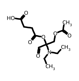 CCN(CC)C(C=O)(COC(C)=O)OC(=O)CCC(=O)O